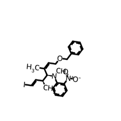 CC(=CCOCc1ccccc1)[C@H]([C@@H](C)C=CI)N(C)c1ccccc1[N+](=O)[O-]